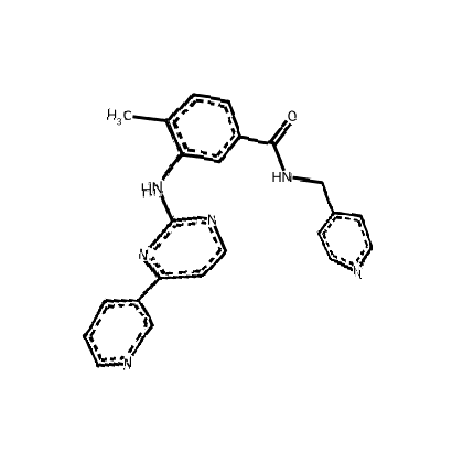 Cc1ccc(C(=O)NCc2ccncc2)cc1Nc1nccc(-c2cccnc2)n1